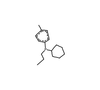 CCCP(c1ccc(C)cc1)C1CCCCC1